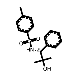 Cc1ccc(S(=O)(=O)N[C@H](c2ccccc2)C(C)(C)O)cc1